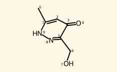 Cc1cc(=O)c(CO)n[nH]1